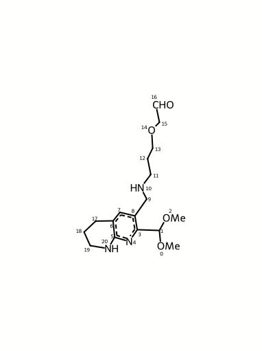 COC(OC)c1nc2c(cc1CNCCCOCC=O)CCCN2